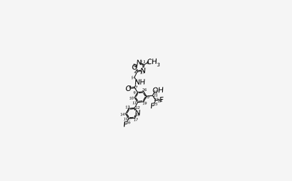 Cc1noc(CNC(=O)c2cc(-c3ccc(F)cn3)cc(C(O)C(F)F)c2)n1